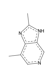 Cc1nc2c(C)cncc2[nH]1